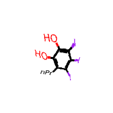 CCCc1c(O)c(O)c(I)c(I)c1I